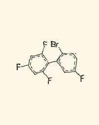 Fc1cc(F)c(-c2cc(F)c[c]c2Br)c(F)c1